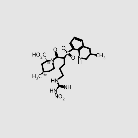 CC1CNc2c(cccc2S(=O)(=O)C(CCCNC(=N)N[N+](=O)[O-])C(=O)N2CC[C@@H](C)C[C@@H]2C(=O)O)C1